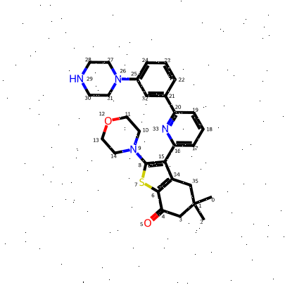 CC1(C)CC(=O)c2sc(N3CCOCC3)c(-c3cccc(-c4cccc(N5CCNCC5)c4)n3)c2C1